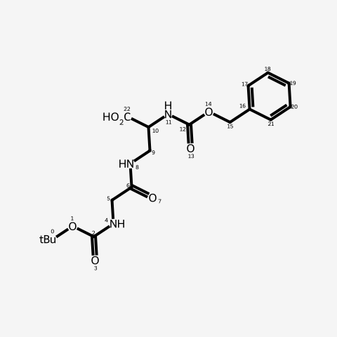 CC(C)(C)OC(=O)NCC(=O)NCC(NC(=O)OCc1ccccc1)C(=O)O